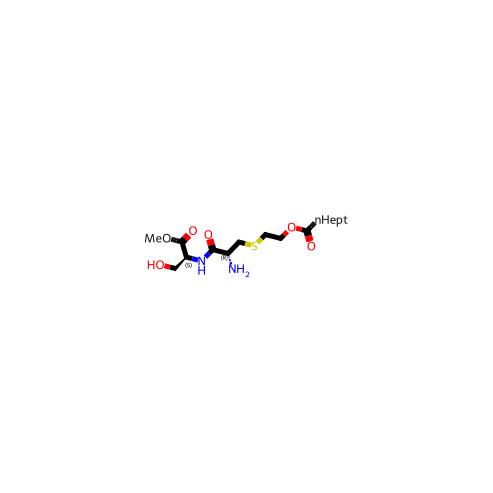 CCCCCCCC(=O)OCCSC[C@H](N)C(=O)N[C@@H](CO)C(=O)OC